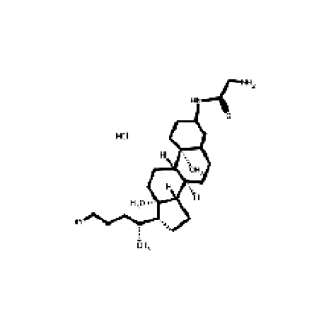 CC(C)CCC[C@@H](C)[C@H]1CC[C@H]2[C@@H]3CCC4CC(NC(=O)CN)CC[C@]4(C)[C@H]3CC[C@]12C.Cl